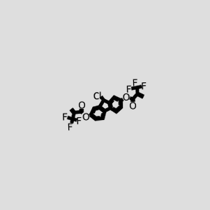 C=C(C(=O)Oc1ccc2c(c1)C(Cl)c1cc(OC(=O)C(=C)C(F)(F)F)ccc1-2)C(F)(F)F